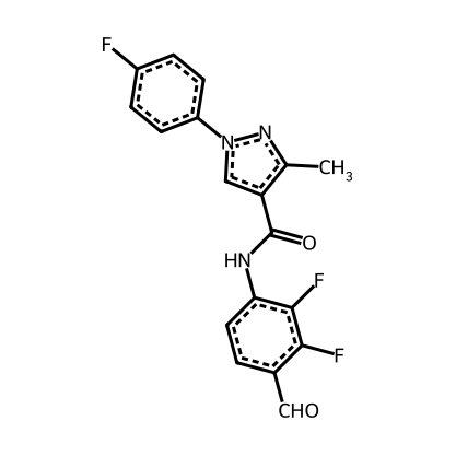 Cc1nn(-c2ccc(F)cc2)cc1C(=O)Nc1ccc(C=O)c(F)c1F